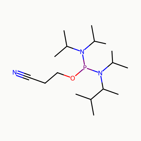 CC(C)C(C)N(C(C)C)P(OCCC#N)N(C(C)C)C(C)C